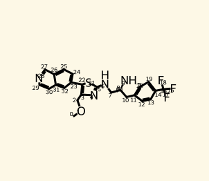 COCc1nc(NC[C@@H](N)Cc2ccc(C(F)(F)F)cc2)sc1-c1ccc2cnccc2c1